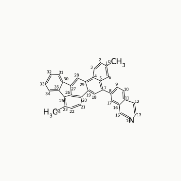 Cc1ccc2c(c1)c(-c1ccc3ccncc3c1)cc1c3ccc(C)c4c3c(cc21)-c1ccccc1-4